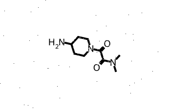 CN(C)C(=O)C(=O)N1CCC(N)CC1